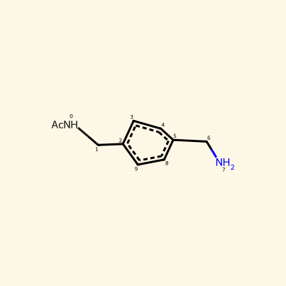 CC(=O)NCc1ccc(CN)cc1